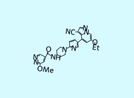 CCOc1cc(-c2ccc(N3CCC(NC(=O)c4cnnc(OC)c4)CC3)nc2)c2c(C#N)cnn2c1